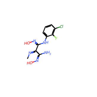 C/N=C(C(=NO)Nc1cccc(Cl)c1F)\C(N)=N/O